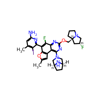 Cc1cc2c(o1)c(-c1nc(N)cc(C)c1I)c(F)c1nc(OC[C@@]34CCCN3C[C@H](F)C4)nc(N3C[C@H]4CC[C@@H](C3)N4)c12